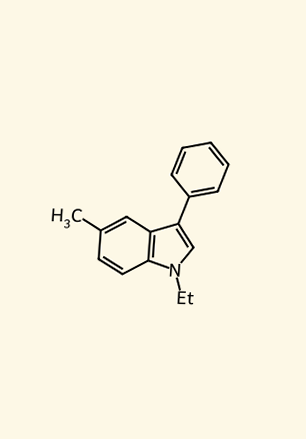 CCn1cc(-c2ccccc2)c2cc(C)ccc21